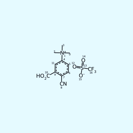 C[N+](C)(C)c1ccc(C#N)c(C(=O)O)c1.O=S(=O)([O-])C(F)(F)F